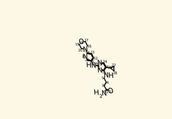 NC(=O)CCCNc1nc(Nc2ccc(N3CCOCC3)nc2)ncc1C1CC1